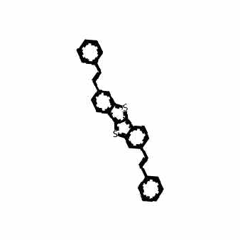 C(=Cc1ccc2c(c1)sc1c3ccc(C=Cc4ccccc4)cc3sc21)c1ccccc1